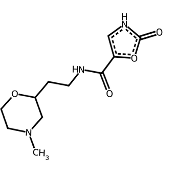 CN1CCOC(CCNC(=O)c2c[nH]c(=O)o2)C1